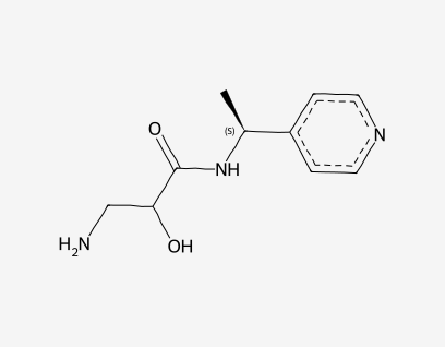 C[C@H](NC(=O)C(O)CN)c1ccncc1